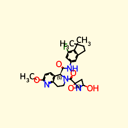 COc1ccc2c(n1)CCN(C(=O)C13CC(O)[N@@]1O3)[C@@H]2C(=O)Nc1cc(F)c2c(c1)CCC2(C)C